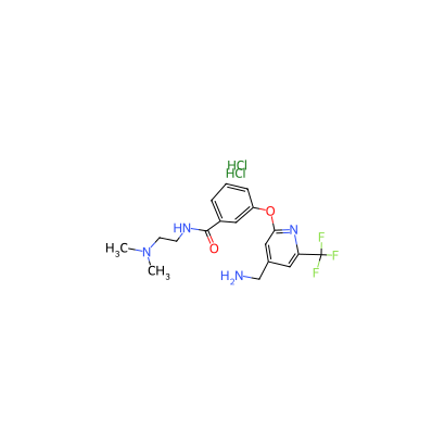 CN(C)CCNC(=O)c1cccc(Oc2cc(CN)cc(C(F)(F)F)n2)c1.Cl.Cl